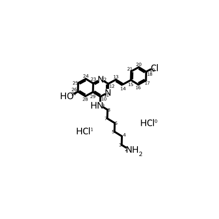 Cl.Cl.NCCCCCCNc1nc(/C=C/c2ccc(Cl)cc2)nc2ccc(O)cc12